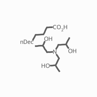 CC(O)CN(CC(C)O)CC(C)O.CCCCCCCCCCCCCC(=O)O